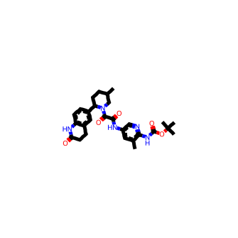 Cc1cc(NC(=O)C(=O)N2CC(C)CCC2c2ccc3c(c2)CCC(=O)N3)cnc1NC(=O)OC(C)(C)C